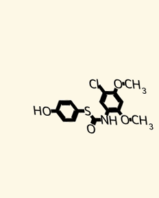 COc1cc(OC)c(NC(=O)Sc2ccc(O)cc2)cc1Cl